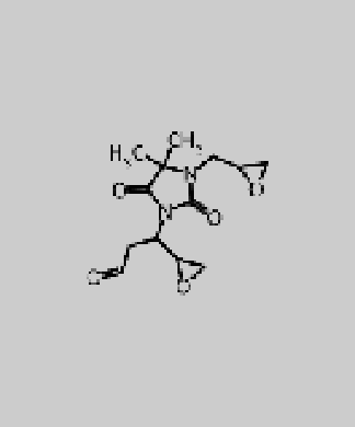 CC1(C)C(=O)N(C(CC=O)C2CO2)C(=O)N1CC1CO1